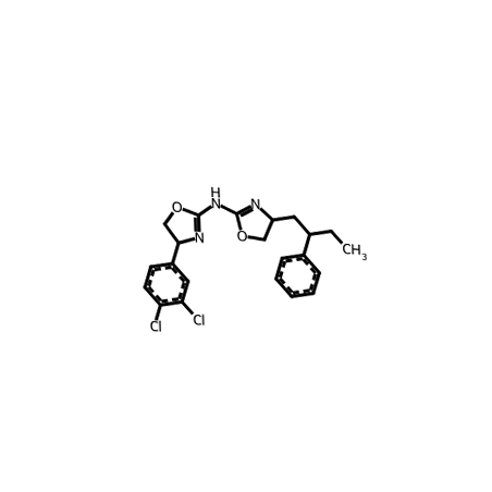 CCC(CC1COC(NC2=NC(c3ccc(Cl)c(Cl)c3)CO2)=N1)c1ccccc1